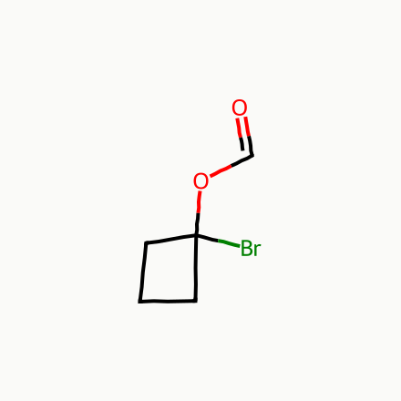 O=COC1(Br)CCC1